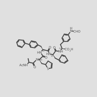 CC(=O)NC(C)C(=O)N[C@H](CC1CC=CS1)C(=O)N[C@@H](Cc1ccc(-c2ccccc2)cc1)C(=O)N[C@H](Cc1ccccc1)C(=O)N[C@@H](Cc1ccc(NC=O)cc1)C(=O)O